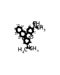 CN(C)c1ccc2c(c1)Oc1cc(N(C)C)ccc1C21C=c2ccccc2=CC1